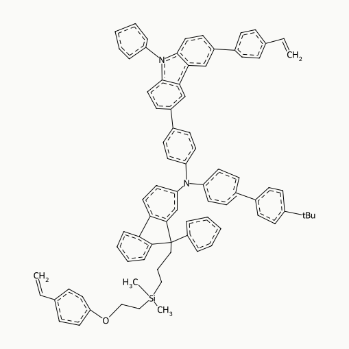 C=Cc1ccc(OCC[Si](C)(C)CCCC2(c3ccccc3)c3ccccc3-c3ccc(N(c4ccc(-c5ccc(C(C)(C)C)cc5)cc4)c4ccc(-c5ccc6c(c5)c5cc(-c7ccc(C=C)cc7)ccc5n6-c5ccccc5)cc4)cc32)cc1